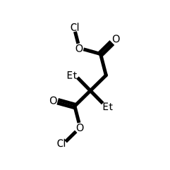 CCC(CC)(CC(=O)OCl)C(=O)OCl